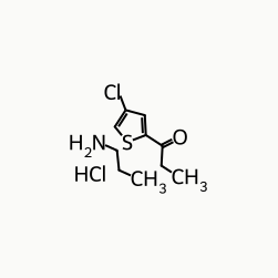 CCC(=O)c1cc(Cl)cs1.CCCN.Cl